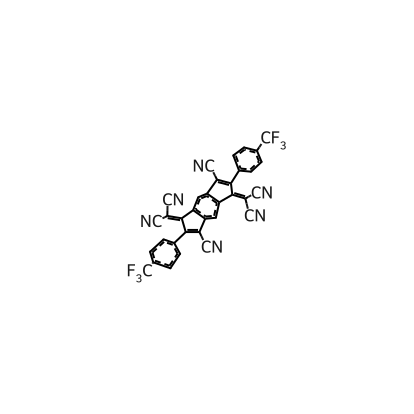 N#CC(C#N)=C1C(c2ccc(C(F)(F)F)cc2)=C(C#N)c2cc3c(cc21)C(C#N)=C(c1ccc(C(F)(F)F)cc1)C3=C(C#N)C#N